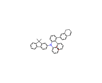 CC1(C)c2ccccc2-c2ccc(N(c3ccccc3)c3cccc(-c4ccc5c(c4)CCC=C5)c3-c3ccccc3)cc21